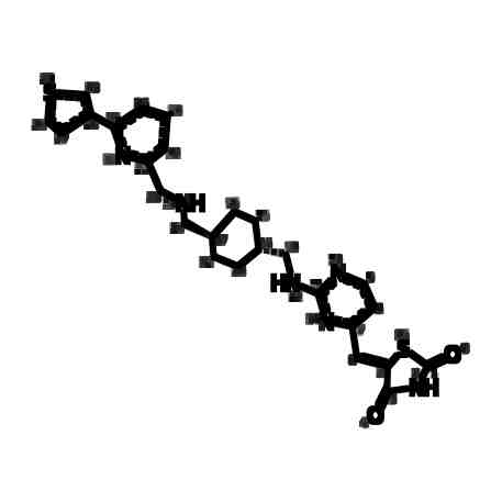 O=C1NC(=O)/C(=C/c2ccnc(NC[C@H]3CC[C@H](CNCc4cccc(-c5ccsc5)n4)CC3)n2)S1